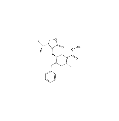 C[C@@H]1CN(Cc2ccccc2)[C@@H](CN2C(=O)OC[C@H]2C(F)F)CN1C(=O)OC(C)(C)C